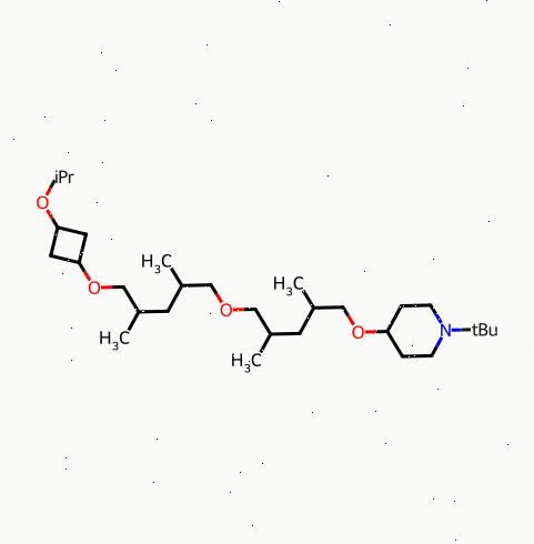 CC(COCC(C)CC(C)COC1CC(OC(C)C)C1)CC(C)COC1CCN(C(C)(C)C)CC1